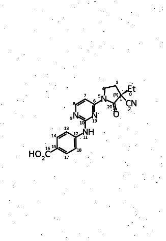 CC[C@]1(C#N)CCN(c2ccnc(Nc3ccc(C(=O)O)cc3)n2)C1=O